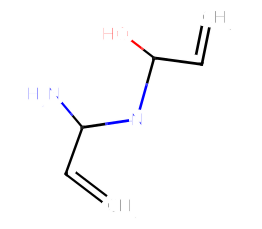 C=CC(N)[N]C(O)C=C